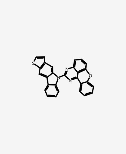 c1ccc2c(c1)Oc1cccc3nc(-n4c5ccccc5c5cc6sccc6cc54)nc-2c13